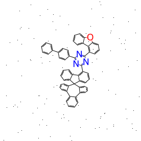 c1ccc(-c2ccc(-c3nc(-c4cccc5c4-c4ccccc4C54c5ccccc5-c5ccccc5-c5ccccc54)nc(-c4cccc5oc6ccccc6c45)n3)cc2)cc1